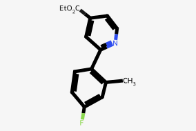 CCOC(=O)c1ccnc(-c2ccc(F)cc2C)c1